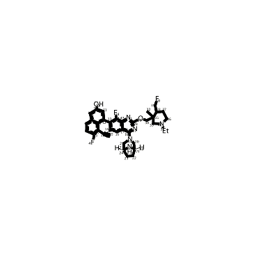 C#Cc1c(F)ccc2cc(O)cc(-c3c(F)cc4c(N5C[C@H]6CC[C@@H](C5)N6)nc(OCC5(C)CN(CC)CCC5CF)nc4c3F)c12